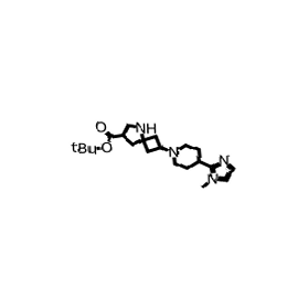 Cn1ccnc1C1CCN(C2CC3(CC(C(=O)OC(C)(C)C)CN3)C2)CC1